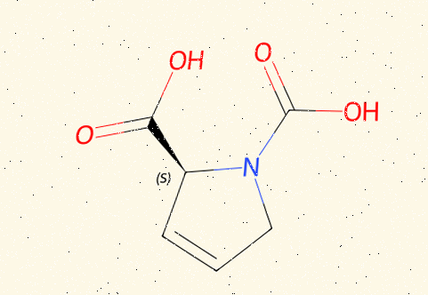 O=C(O)[C@@H]1C=CCN1C(=O)O